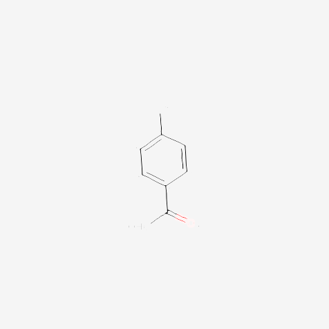 CC(C)c1ccc(C(=O)C=O)cc1